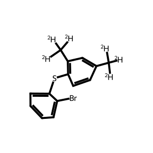 [2H]C([2H])([2H])c1ccc(Sc2ccccc2Br)c(C([2H])([2H])[2H])c1